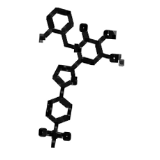 CS(=O)(=O)c1ccc(-c2ccc(-c3cc(C(F)(F)F)c(C#N)c(=O)n3Cc3ccccc3F)s2)cc1